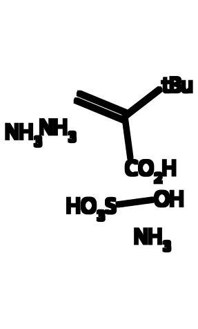 C=C(C(=O)O)C(C)(C)C.N.N.N.O=S(=O)(O)O